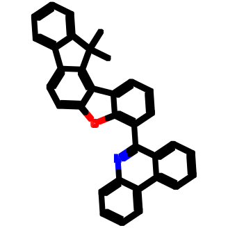 CC1(C)c2ccccc2-c2ccc3oc4c(-c5nc6ccccc6c6ccccc56)cccc4c3c21